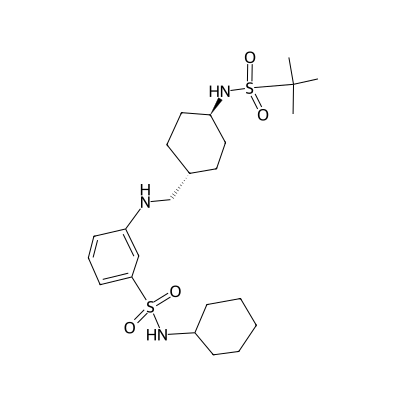 CC(C)(C)S(=O)(=O)N[C@H]1CC[C@H](CNc2cccc(S(=O)(=O)NC3CCCCC3)c2)CC1